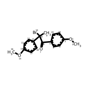 COc1ccc(C(=O)C(C)(Br)c2ccc(OC)cc2)cc1